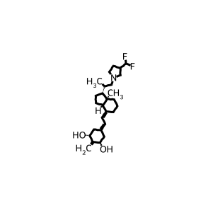 C=C1[C@H](O)CC(=CC=C2CCC[C@]3(C)[C@@H](C(C)CN4CCC(C(F)F)C4)CC[C@@H]23)C[C@H]1O